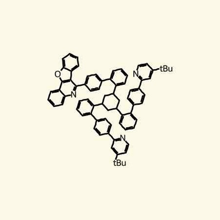 CC(C)(C)c1ccnc(-c2ccc(-c3ccccc3C3CC(c4ccccc4-c4ccc(-c5cc(C(C)(C)C)ccn5)cc4)CC(c4ccccc4-c4ccc(-c5nc6ccccc6c6oc7ccccc7c56)cc4)C3)cc2)c1